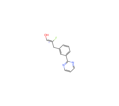 O/C=C(\F)Cc1cccc(-c2ncccn2)c1